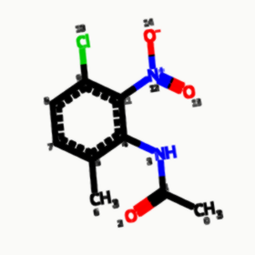 CC(=O)Nc1c(C)ccc(Cl)c1[N+](=O)[O-]